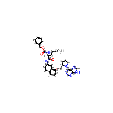 C[C@@](CCC(=O)O)(NC(=O)OCc1ccccc1)C(=O)Nc1ccc2cccc(OC[C@H]3CCCN3c3ncnc4[nH]cnc34)c2c1